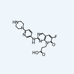 O=C(O)CCn1c(=O)c(F)cc2cnc(Nc3ccc(N4CCNCC4)nc3)nc21